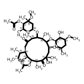 CO[C@H]1C[C@@H](C)O[C@@H](OC2[C@@H](C)C(O[C@H]3C[C@@](C)(OC)[C@@H](OC(C)=O)[C@H](C)O3)[C@@H](C)C(=O)C[C@H]([C@@H](C)[C@@H](C)O)[C@H](C)[C@H](OC(C)=O)[C@@H](C)C(=O)[C@@](C)(O)C[C@@H]2C)[C@@H]1O